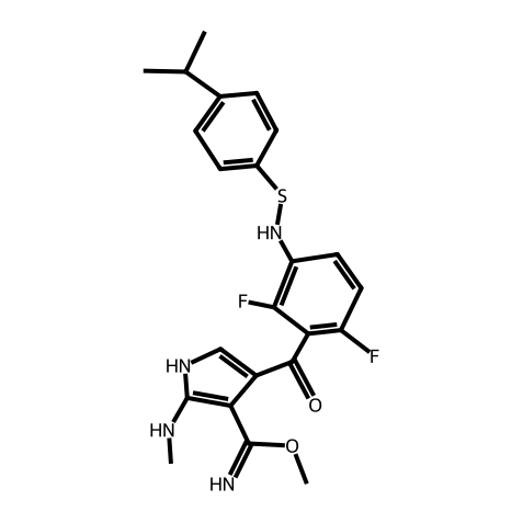 CNc1[nH]cc(C(=O)c2c(F)ccc(NSc3ccc(C(C)C)cc3)c2F)c1C(=N)OC